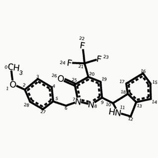 COc1ccc(Cn2nc(C3NCc4ccccc43)cc(C(F)(F)F)c2=O)cc1